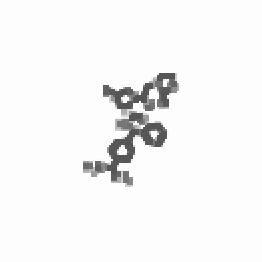 CC(C)c1ccc([C@@H](NC(=O)[C@@H]2C[C@@H](F)CN2C(=O)CN2CCOC2=O)c2ccccc2)cc1